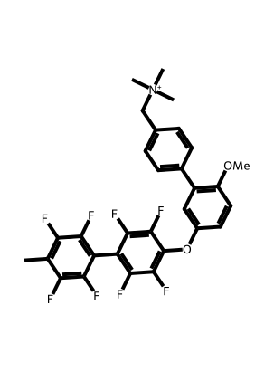 COc1ccc(Oc2c(F)c(F)c(-c3c(F)c(F)c(C)c(F)c3F)c(F)c2F)cc1-c1ccc(C[N+](C)(C)C)cc1